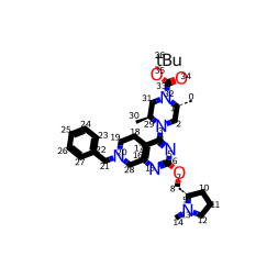 C[C@@H]1CN(c2nc(OC[C@@H]3CCCN3C)nc3c2CCN(Cc2ccccc2)C3)[C@@H](C)CN1C(=O)OC(C)(C)C